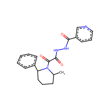 CC1CCCC(c2ccccc2)N1C(=O)C(=O)NNC(=O)c1cccnc1